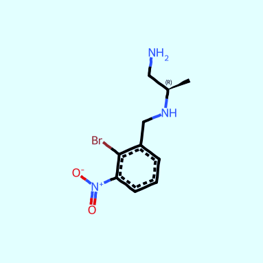 C[C@H](CN)NCc1cccc([N+](=O)[O-])c1Br